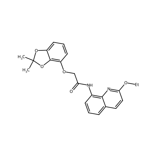 CCOc1ccc2cccc(NC(=O)COc3cccc4c3OC(C)(C)O4)c2n1